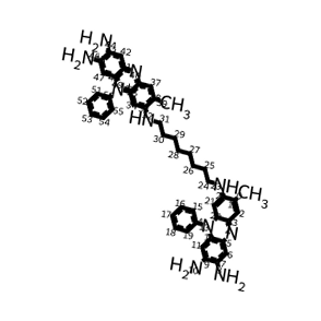 CC1=CC2=Nc3cc(N)c(N)cc3N(c3ccccc3)C2C=C1NCCCCCCCCNc1cc2c(cc1C)nc1cc(N)c(N)cc1[n+]2-c1ccccc1